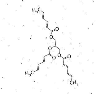 C/C=C/C=C/C(=O)OCC(COC(=O)/C=C/C=C/C)OC(=O)/C=C/C=C/C